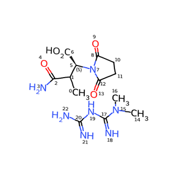 CC(C(N)=O)[C@@H](C(=O)O)N1C(=O)CCC1=O.CN(C)C(=N)NC(=N)N